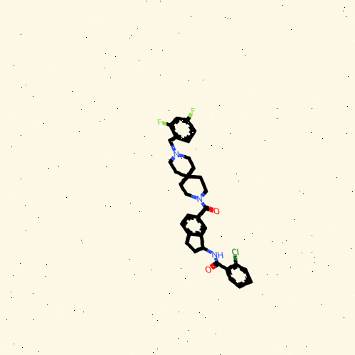 O=C(NC1CCc2ccc(C(=O)N3CCC4(CCN(Cc5ccc(F)cc5F)CC4)CC3)cc21)c1ccccc1Cl